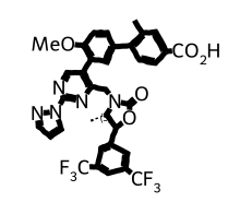 COc1ccc(-c2ccc(C(=O)O)cc2C)cc1-c1cnc(-n2cccn2)nc1CN1C(=O)OC(c2cc(C(F)(F)F)cc(C(F)(F)F)c2)[C@@H]1C